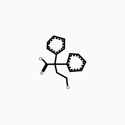 O=C(Cl)C(CCCl)(c1ccccc1)c1ccccc1